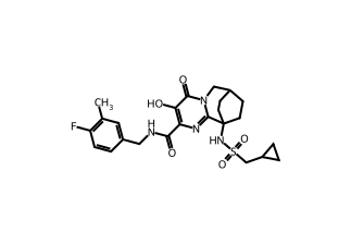 Cc1cc(CNC(=O)c2nc3n(c(=O)c2O)CC2CCC3(NS(=O)(=O)CC3CC3)CC2)ccc1F